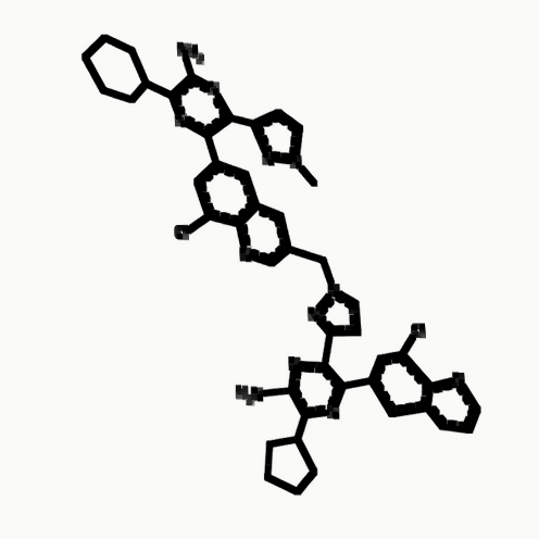 Cn1ccc(-c2nc(N)c(C3CCCCC3)nc2-c2cc(Cl)c3ncc(Cn4ccc(-c5nc(N)c(C6CCCC6)nc5-c5cc(Cl)c6ncccc6c5)n4)cc3c2)n1